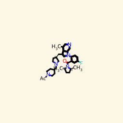 CC(=O)N1CCC(CN2CC[C@@H](Cc3cn(-c4ccc(F)cc4C(=O)N4[C@@H](C)CC[C@@H]4C)c4cncc(C)c34)C2)CC1